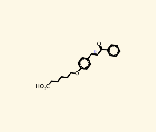 O=C(O)CCCCCOc1ccc(/C=C/C(=O)c2ccccc2)cc1